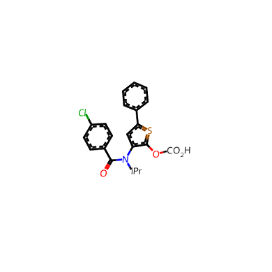 CC(C)N(C(=O)c1ccc(Cl)cc1)c1cc(-c2ccccc2)sc1OC(=O)O